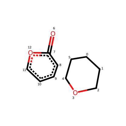 C1CCOCC1.O=c1cccco1